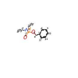 CC(C)N(C(C)C)[PH](=O)OCc1ccccc1